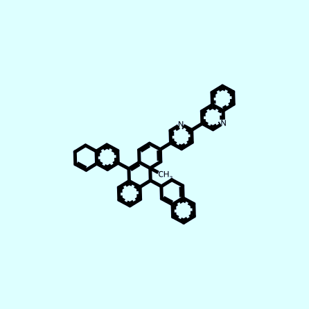 CC12C=C(c3ccc(-c4cnc5ccccc5c4)nc3)C=CC1=C(c1ccc3c(c1)C=CCC3)c1ccccc1C2C1C=c2ccccc2=CC1